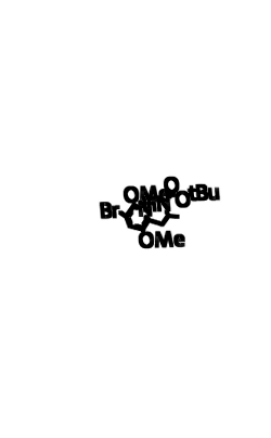 COc1cc(Br)c(OC)nc1CC(C)NC(=O)OC(C)(C)C